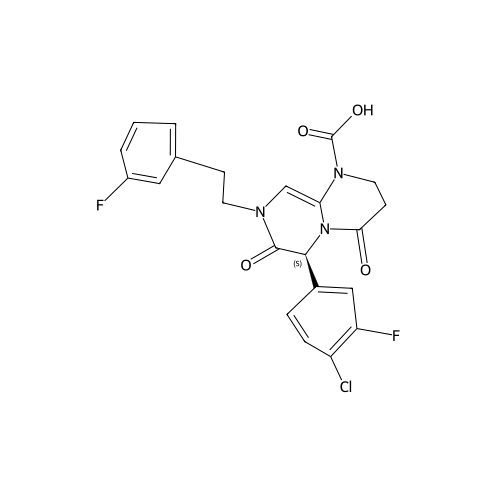 O=C1[C@H](c2ccc(Cl)c(F)c2)N2C(=O)CCN(C(=O)O)C2=CN1CCc1cccc(F)c1